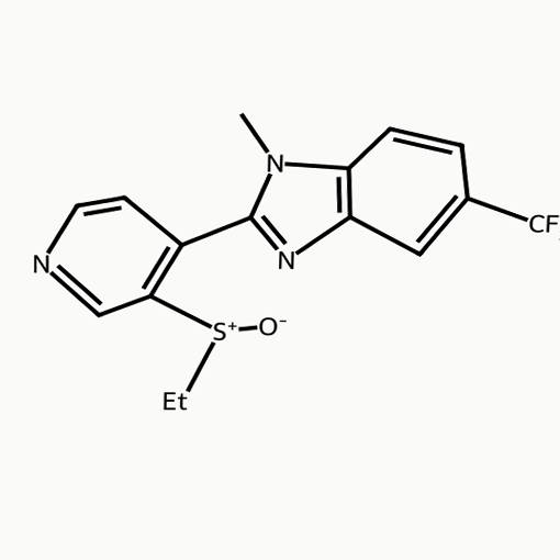 CC[S+]([O-])c1cnccc1-c1nc2cc(C(F)(F)F)ccc2n1C